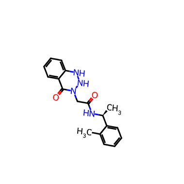 Cc1ccccc1[C@H](C)NC(=O)CN1NNc2ccccc2C1=O